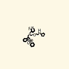 O=S(=O)(c1ccccc1)n1cc(CN(CCOCCNC2CCCC2)Cc2cccnc2F)c2ccccc21